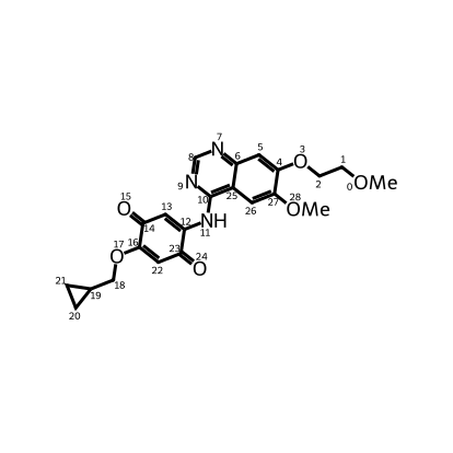 COCCOc1cc2ncnc(NC3=CC(=O)C(OCC4CC4)=CC3=O)c2cc1OC